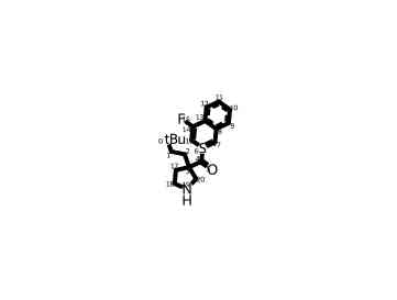 CC(C)(C)CCC1(C(=O)S2=[C]c3ccccc3C(F)=C2)CCNC1